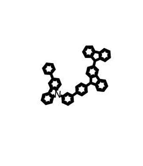 c1ccc(-c2ccc3c(c2)c2ccccc2n3-c2cccc(-c3ccc(C4c5ccccc5-c5cc(C6c7ccccc7-c7ccccc76)ccc54)cc3)c2)cc1